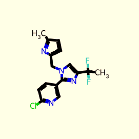 CC1=NC(Cn2cc(C(C)(F)F)nc2-c2ccc(Cl)nc2)=C=C1